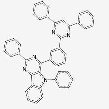 c1ccc(-c2cc(-c3ccccc3)nc(-c3cccc(-c4nc(-c5ccccc5)nc5c6ccccc6n(-c6ccccc6)c45)c3)n2)cc1